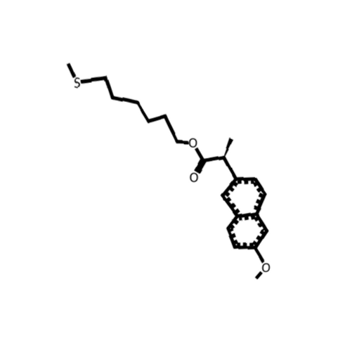 COc1ccc2cc([C@H](C)C(=O)OCCCCCCSC)ccc2c1